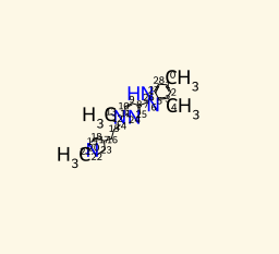 Cc1cc(C)c2nc(-c3ccc(N(C)CCCC4CCN(C)CC4)nc3)[nH]c2c1